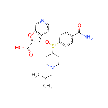 CC(C)CN1CCC([S+]([O-])c2ccc(C(N)=O)cc2)CC1.O=C(O)c1cc2ccncc2o1